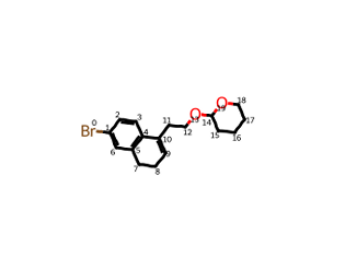 Brc1ccc2c(c1)CCC=C2CCOC1CCCCO1